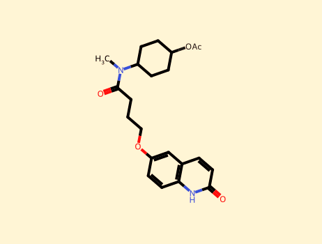 CC(=O)OC1CCC(N(C)C(=O)CCCOc2ccc3[nH]c(=O)ccc3c2)CC1